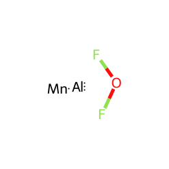 FOF.[Al].[Mn]